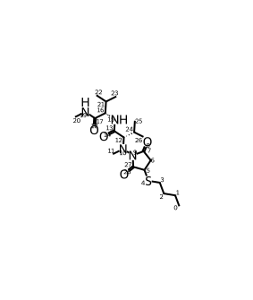 CCCCSC1CC(=O)N(N(C)[C@H](C(=O)N[C@H](C(=O)NC)C(C)C)C(C)C)C1=O